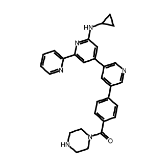 O=C(c1ccc(-c2cncc(-c3cc(NC4CC4)nc(-c4ccccn4)c3)c2)cc1)N1CCNCC1